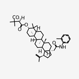 C=C(C)[C@@H]1CC[C@]2(CC(=O)Nc3ccccc3C)CC[C@]3(C)[C@H](CC[C@@H]4[C@@]5(C)CC[C@H](OC(=O)CC(C)(C)C(=O)O)C(C)(C)[C@@H]5CC[C@]43C)[C@@H]12